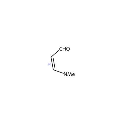 CN/C=C\C=O